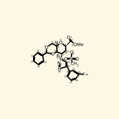 COC(=O)[C@@H]1O[C@@H]2COC(c3ccccc3)O[C@@H]2[C@H](n2cc(-c3cccc(F)c3)nn2)[C@H]1OS(C)(=O)=O